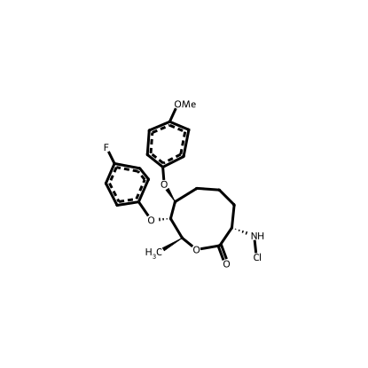 COc1ccc(O[C@H]2CCC[C@H](NCl)C(=O)O[C@@H](C)[C@@H]2Oc2ccc(F)cc2)cc1